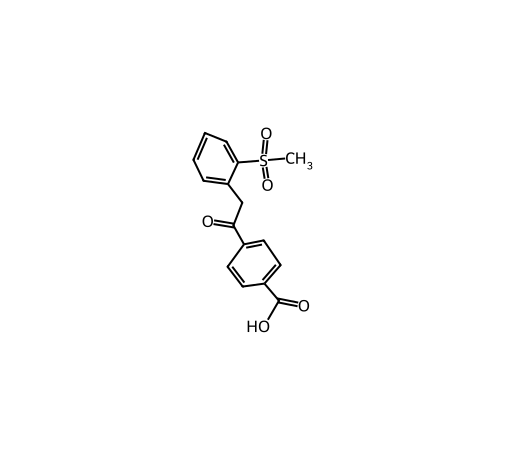 CS(=O)(=O)c1ccccc1CC(=O)c1ccc(C(=O)O)cc1